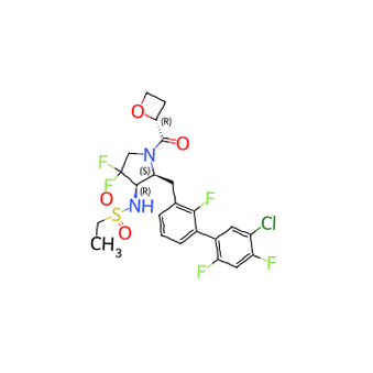 CCS(=O)(=O)N[C@@H]1[C@H](Cc2cccc(-c3cc(Cl)c(F)cc3F)c2F)N(C(=O)[C@H]2CCO2)CC1(F)F